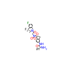 CC(C)C(N)C(=O)Nc1ccc2c(c1)CCC21OC(=O)N(CC(=O)N(Cc2ccc(F)cc2)C(C)C(F)(F)F)C1=O